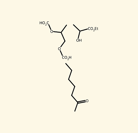 CC(COC(=O)O)OC(=O)O.CCCCCC(C)=O.CCOC(=O)C(C)O